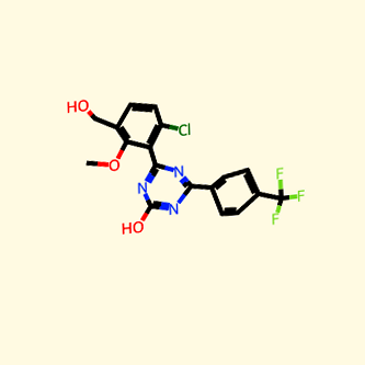 COc1c(CO)ccc(Cl)c1-c1nc(O)nc(-c2ccc(C(F)(F)F)cc2)n1